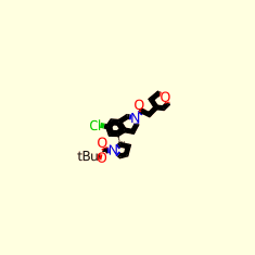 CC(C)(C)OC(=O)N1CCC[C@H]1c1cc(Cl)cc2c1CCN(C(=O)CC1CCOCC1)C2